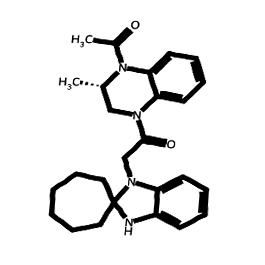 CC(=O)N1c2ccccc2N(C(=O)CN2c3ccccc3NC23CCCCCC3)C[C@@H]1C